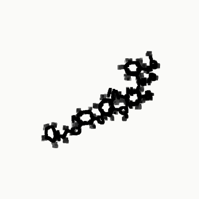 COc1cc(Oc2ccnc(OCCN3CCCC3)c2)ccc1Nc1ncc(Br)c(Nc2ccccc2P(OC)OC)n1